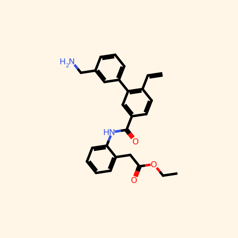 C=Cc1ccc(C(=O)Nc2ccccc2CC(=O)OCC)cc1-c1cccc(CN)c1